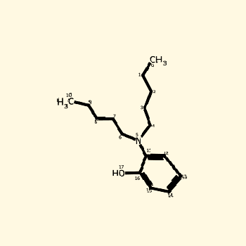 CCCCCN(CCCCC)c1ccccc1O